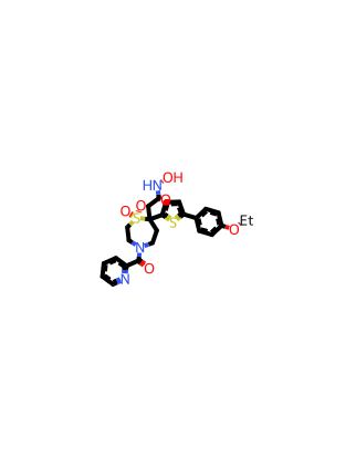 CCOc1ccc(-c2ccc(C3(CC(=O)NO)CCN(C(=O)c4ccccn4)CCS3(=O)=O)s2)cc1